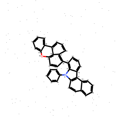 c1ccc(-n2c3ccc4ccccc4c3c3cccc(-c4ccc5c6c(cccc46)-c4ccccc4O5)c32)cc1